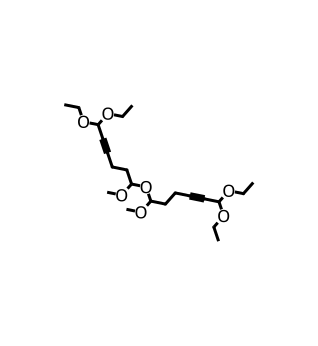 CCOC(C#CCCC(OC)OC(CCC#CC(OCC)OCC)OC)OCC